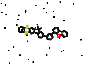 CC1(C)c2cc(-c3cccc(-c4cccc5c4oc4ccccc45)c3)ccc2-c2cc3c(cc21)Sc1ccccc1S3